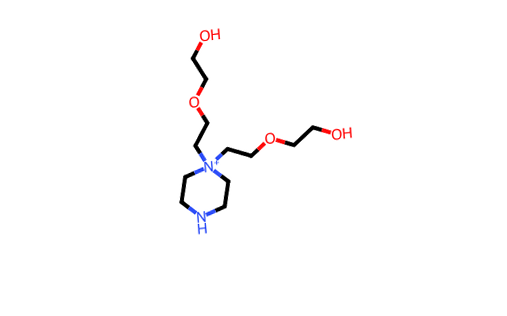 OCCOCC[N+]1(CCOCCO)CCNCC1